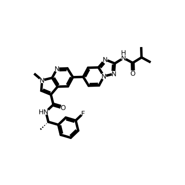 CC(C)C(=O)Nc1nc2cc(-c3cnc4c(c3)c(C(=O)N[C@@H](C)c3cccc(F)c3)cn4C)ccn2n1